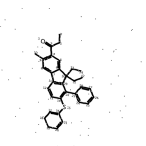 CCC(=O)c1cc2c(cc1C)-c1ccc(SC3=CCCC=C3)c(-c3ccccc3)c1C2(CC)CC